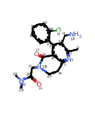 Cc1nc2c(c(-c3ccccc3Cl)c1CN)C(=O)N(CC(=O)N(C)C)CC2